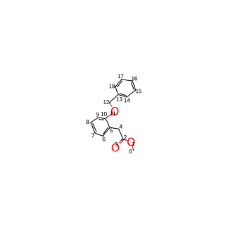 COC(=O)Cc1ccccc1OCc1ccccc1